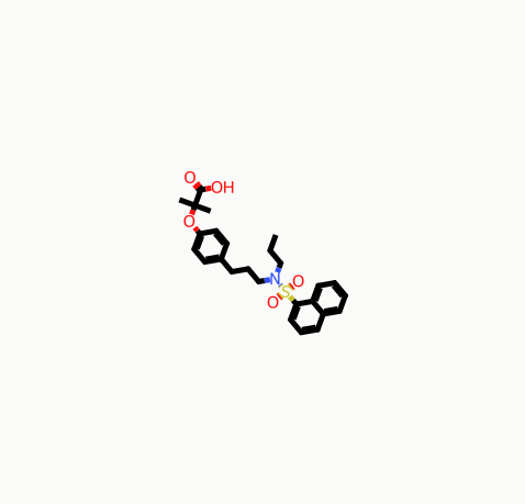 CCCN(CCCc1ccc(OC(C)(C)C(=O)O)cc1)S(=O)(=O)c1cccc2ccccc12